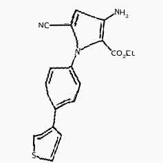 CCOC(=O)c1c(N)cc(C#N)n1-c1ccc(-c2ccsc2)cc1